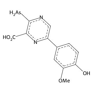 COc1cc(-c2cnc([AsH2])c(C(=O)O)n2)ccc1O